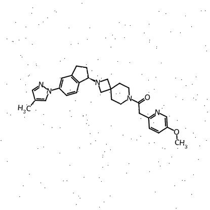 COc1ccc(CC(=O)N2CCC3(CC2)CN([C@@H]2CCc4cc(-n5cc(C)cn5)ccc42)C3)nc1